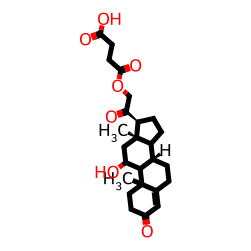 CC12CCC(=O)C=C1CC[C@@H]1C2C(O)C[C@@]2(C)C1CC[C@@H]2C(=O)COC(=O)CCC(=O)O